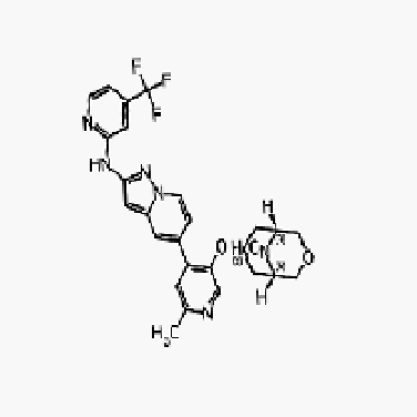 Cc1cc(-c2ccn3nc(Nc4cc(C(F)(F)F)ccn4)cc3c2)c(O[C@H]2C[C@H]3COC[C@@H](C2)N3C)cn1